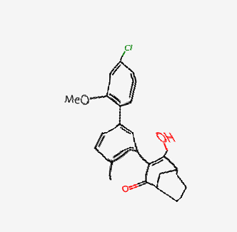 COc1cc(Cl)ccc1-c1ccc(C)c(C2=C(O)C3CCC(C3)C2=O)c1